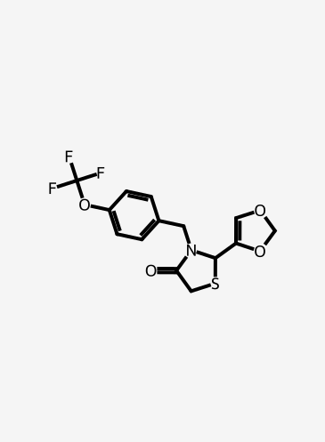 O=C1CSC(C2=COCO2)N1Cc1ccc(OC(F)(F)F)cc1